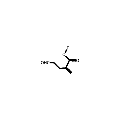 C=C(CCC=O)C(=O)OF